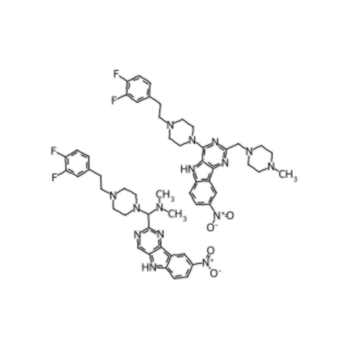 CN(C)C(c1ncc2[nH]c3ccc([N+](=O)[O-])cc3c2n1)N1CCN(CCc2ccc(F)c(F)c2)CC1.CN1CCN(Cc2nc(N3CCN(CCc4ccc(F)c(F)c4)CC3)c3[nH]c4ccc([N+](=O)[O-])cc4c3n2)CC1